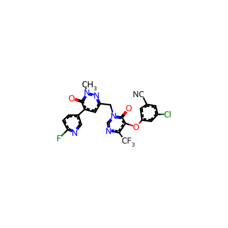 Cn1nc(Cn2cnc(C(F)(F)F)c(Oc3cc(Cl)cc(C#N)c3)c2=O)cc(-c2ccc(F)nc2)c1=O